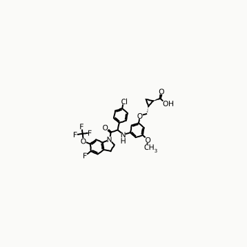 COc1cc(NC(C(=O)N2CCc3cc(F)c(OC(F)(F)F)cc32)c2ccc(Cl)cc2)cc(OC[C@@H]2C[C@H]2C(=O)O)c1